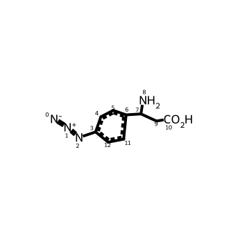 [N-]=[N+]=Nc1ccc(C(N)CC(=O)O)cc1